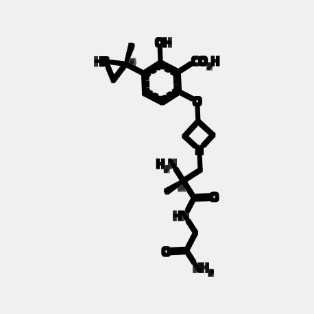 C[C@]1(c2ccc(OC3CN(C[C@@](C)(N)C(=O)NCC(N)=O)C3)c(C(=O)O)c2O)BC1